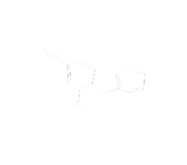 N#Cc1ccc(Nc2ccccc2)c([N+](=O)[O-])c1Cl